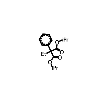 CCC(C(=O)OC(C)C)(C(=O)OC(C)C)c1ccccc1